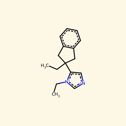 CCn1cncc1C1(CC)Cc2ccccc2C1